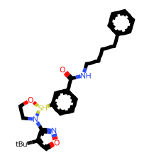 CC(C)(C)c1conc1N1CCO[SH]1c1cccc(C(=O)NCCCCc2ccccc2)c1